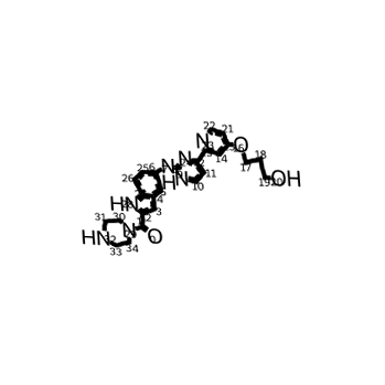 O=C(c1cc2cc(Nc3nccc(-c4cc(OCCCO)ccn4)n3)ccc2[nH]1)N1CCNCC1